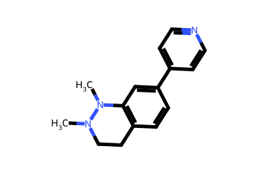 CN1CCc2ccc(-c3ccncc3)cc2N1C